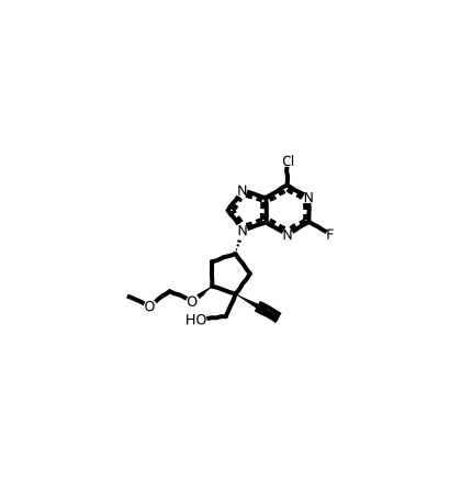 C#C[C@]1(CO)C[C@@H](n2cnc3c(Cl)nc(F)nc32)C[C@@H]1OCOC